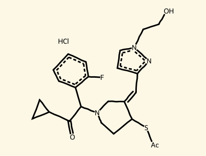 CC(=O)SC1CCN(C(C(=O)C2CC2)c2ccccc2F)C/C1=C\c1ccn(CCO)n1.Cl